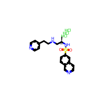 C[C@H](CNCCc1ccncc1)NS(=O)(=O)c1ccc2cnccc2c1.Cl.Cl.Cl